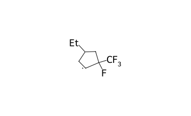 [CH2]CC1C[CH]C(F)(C(F)(F)F)C1